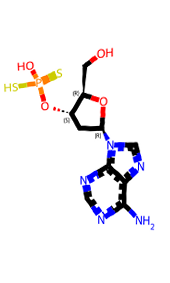 Nc1ncnc2c1ncn2[C@H]1C[C@H](OP(O)(=S)S)[C@@H](CO)O1